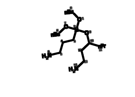 CCCCO[Si](CCCN)(OCCCC)OC(CCC)CCN